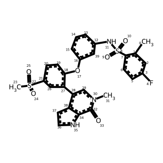 Cc1cc(F)ccc1S(=O)(=O)Nc1cccc(Oc2ccc(S(C)(=O)=O)cc2-c2cn(C)c(=O)c3[nH]ccc23)c1